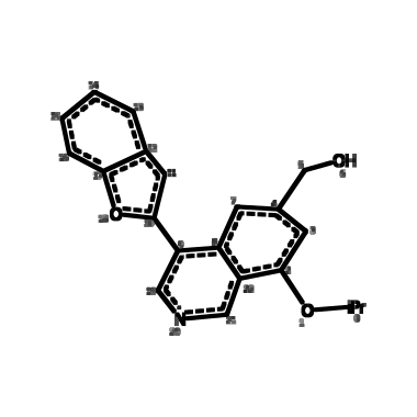 CC(C)Oc1cc(CO)cc2c(-c3cc4ccccc4o3)cncc12